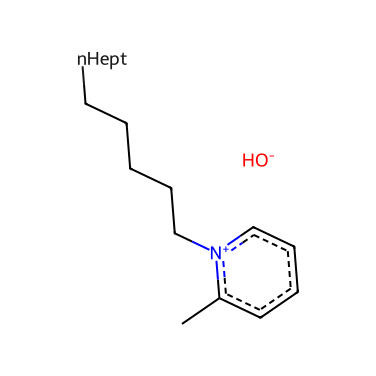 CCCCCCCCCCCC[n+]1ccccc1C.[OH-]